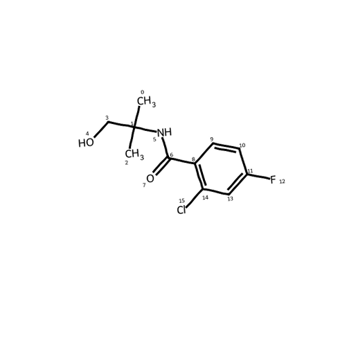 CC(C)(CO)NC(=O)c1ccc(F)cc1Cl